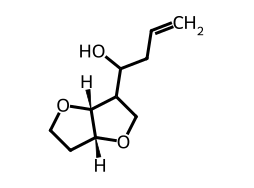 C=CCC(O)C1CO[C@@H]2CCO[C@H]12